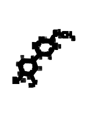 CSc1ncc(-c2ccc(Br)c(F)c2)nn1